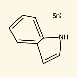 [Sn].c1ccc2[nH]ccc2c1